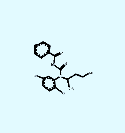 CC(CCO)N(C(=S)NC(=O)c1ccccc1)c1cc(Br)ccc1Cl